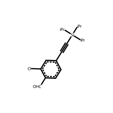 CC(C)[Si](C#Cc1ccc(C=O)c(Cl)c1)(C(C)C)C(C)C